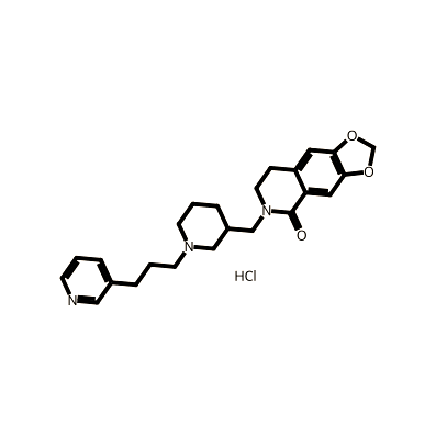 Cl.O=C1c2cc3c(cc2CCN1CC1CCCN(CCCc2cccnc2)C1)OCO3